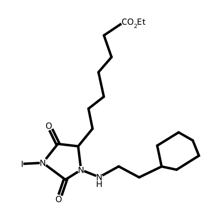 CCOC(=O)CCCCCCC1C(=O)N(I)C(=O)N1NCCC1CCCCC1